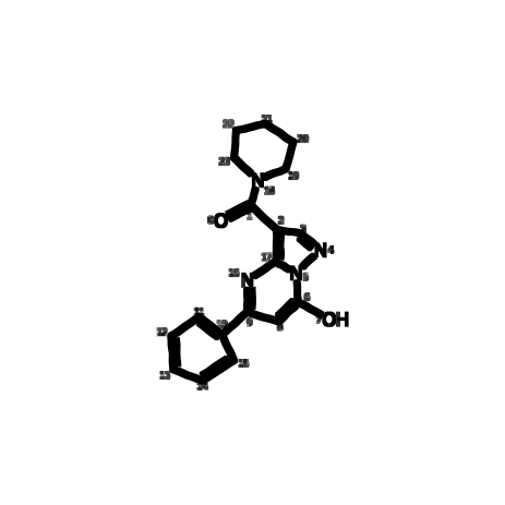 O=C(c1cnn2c(O)cc(-c3ccccc3)nc12)N1CCCCC1